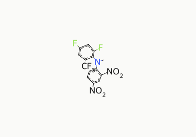 CN(c1ccc([N+](=O)[O-])cc1[N+](=O)[O-])c1c(F)cc(F)cc1C(F)(F)F